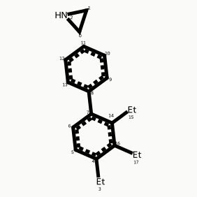 C1CN1.CCc1ccc(-c2ccccc2)c(CC)c1CC